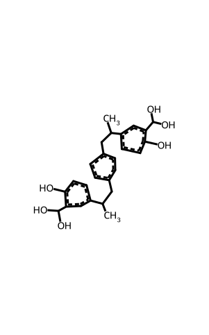 CC(Cc1ccc(CC(C)c2ccc(O)c(C(O)O)c2)cc1)c1ccc(O)c(C(O)O)c1